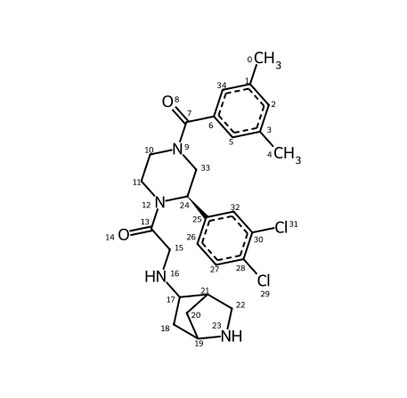 Cc1cc(C)cc(C(=O)N2CCN(C(=O)CNC3CC4CC3CN4)[C@H](c3ccc(Cl)c(Cl)c3)C2)c1